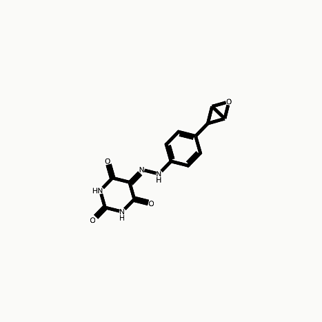 O=C1NC(=O)C(=NNc2ccc(C3C4OC43)cc2)C(=O)N1